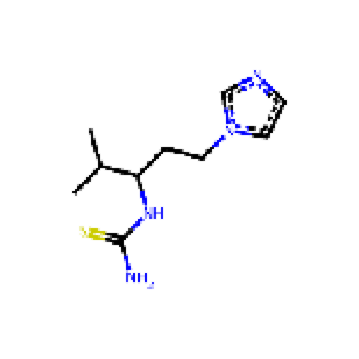 CC(C)C(CCn1ccnc1)NC(N)=S